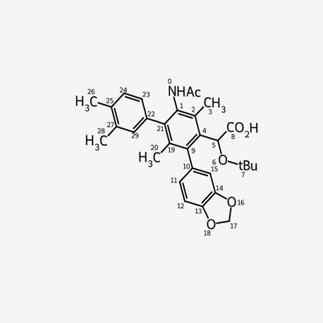 CC(=O)Nc1c(C)c(C(OC(C)(C)C)C(=O)O)c(-c2ccc3c(c2)OCO3)c(C)c1-c1ccc(C)c(C)c1